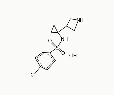 Cl.O=S(=O)(NC1(C2CNC2)CC1)c1ccc(Cl)cc1